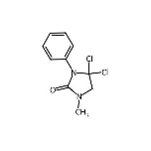 CN1CC(Cl)(Cl)N(c2ccccc2)C1=O